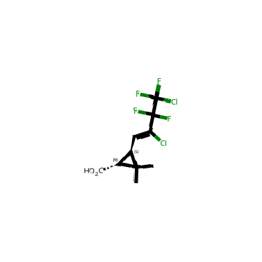 CC1(C)[C@H](C=C(Cl)C(F)(F)C(F)(F)Cl)[C@H]1C(=O)O